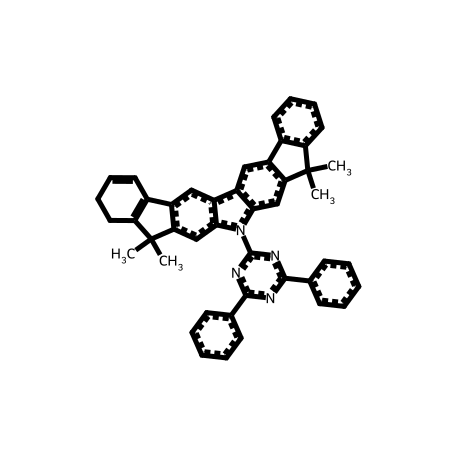 CC1(C)C2=C(C=CCC2)c2cc3c4cc5c(cc4n(-c4nc(-c6ccccc6)nc(-c6ccccc6)n4)c3cc21)C(C)(C)c1ccccc1-5